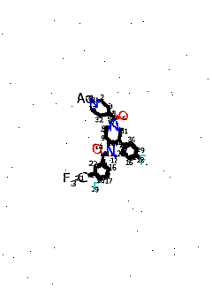 CC(=O)N1CCC(C(=O)N2CC[C@@H](N(C)C(=O)c3ccc(F)c(C(F)(F)F)c3)[C@H](c3ccc(F)cc3)C2)CC1